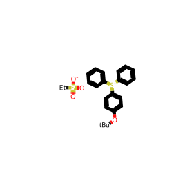 CC(C)(C)Oc1ccc([S+](c2ccccc2)c2ccccc2)cc1.CCS(=O)(=O)[O-]